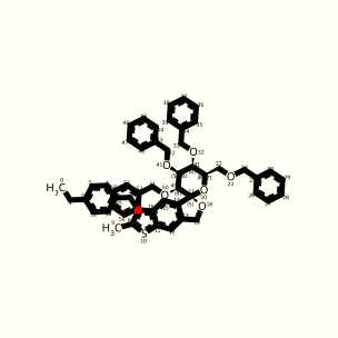 CCc1ccc(Cc2c(C)sc3cc4c(cc23)[C@]2(OC4)O[C@H](COCc3ccccc3)[C@@H](OCc3ccccc3)[C@H](OCc3ccccc3)[C@H]2OCc2ccccc2)cc1